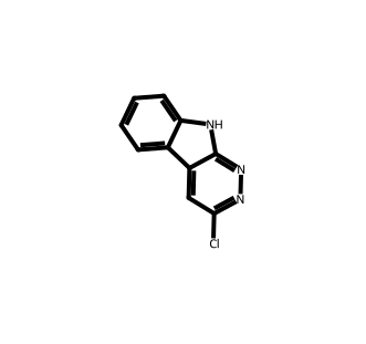 Clc1cc2c(nn1)[nH]c1ccccc12